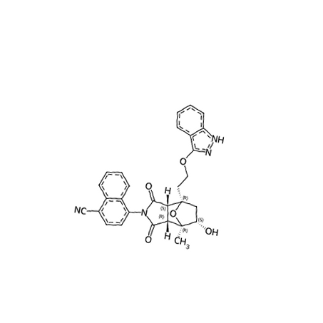 C[C@]12O[C@](CCOc3n[nH]c4ccccc34)(C[C@@H]1O)[C@H]1C(=O)N(c3ccc(C#N)c4ccccc34)C(=O)[C@H]12